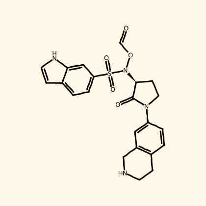 O=CON([C@H]1CCN(c2ccc3c(c2)CNCC3)C1=O)S(=O)(=O)c1ccc2cc[nH]c2c1